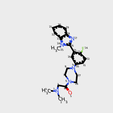 CN(C)CC(=O)N1CCN(c2ccc(F)c(-c3nc4ccccc4n3C)c2)CC1